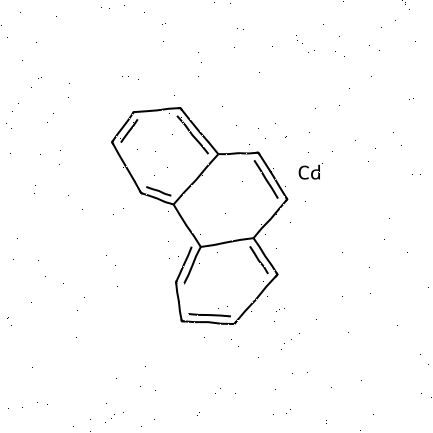 [Cd].c1ccc2c(c1)ccc1ccccc12